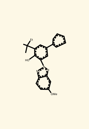 CCC(C)(C)c1cc(-c2ccccc2)cc(-n2nc3ccc(OC)cc3n2)c1O